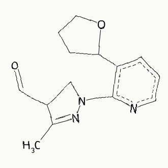 CC1=NN(c2ncccc2C2CCCO2)CC1C=O